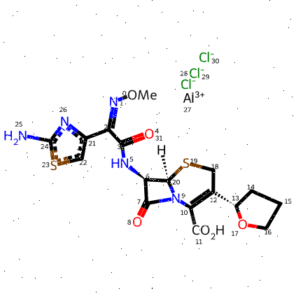 CO/N=C(\C(=O)N[C@@H]1C(=O)N2C(C(=O)O)=C([C@@H]3CCCO3)CS[C@H]12)c1csc(N)n1.[Al+3].[Cl-].[Cl-].[Cl-]